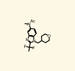 CC(=O)N(C)c1ccc2c(c1)nc(C(C)(F)F)n2CC1CCOCC1